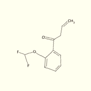 C=CCC(=O)c1ccccc1OC(F)F